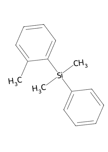 Cc1ccccc1[Si](C)(C)c1ccccc1